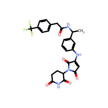 CC(NC(=O)Cc1ccc(C(F)(F)F)cc1)c1cccc(NC2=CC(=O)N(C3CCC(=O)NC3=O)C2=O)c1